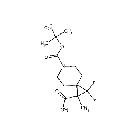 CC(C)(C)OC(=O)N1CCC2(CC1)C(F)(F)C2(C)C(=O)O